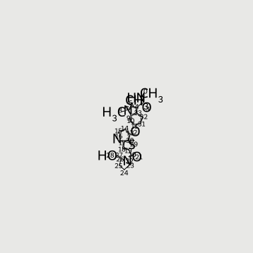 CNC(=O)c1c(C)n(C)c2cc(Oc3ccnc4cc(C(=O)N5CCCC5CO)sc34)ccc12